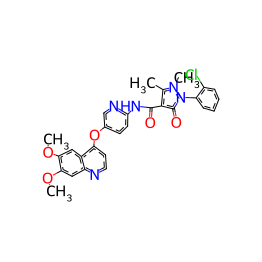 COc1cc2nccc(Oc3ccc(NC(=O)c4c(C)n(C)n(-c5ccccc5Cl)c4=O)nc3)c2cc1OC